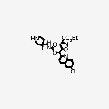 CCOC(=O)c1cc(C(OC(=O)NCC2(F)CCNCC2)c2ccc3cc(Cl)ccc3n2)on1